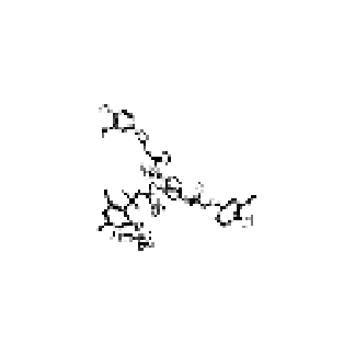 Cc1cc(C)c(C(C)(C)CC(=O)O[C@@H]2CC3(NC(=O)COc4ccc(Cl)c(F)c4)CCC2(NC(=O)COc2ccc(Cl)c(F)c2)CC3)c(OP(=O)(O)O)c1